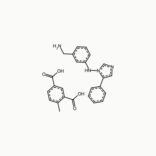 Cc1ccc(C(=O)O)cc1C(=O)O.NCc1cccc(Nn2cncc2-c2ccccc2)c1